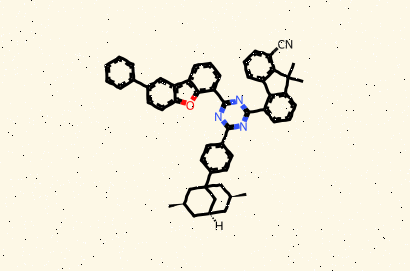 C[C@@H]1C[C@@H]2C[C@H](C)CC(c3ccc(-c4nc(-c5cccc6c5-c5cccc(C#N)c5C6(C)C)nc(-c5cccc6c5oc5ccc(-c7ccccc7)cc56)n4)cc3)(C1)C2